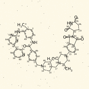 Cc1ccc(NC(=O)c2ccc(CN3CCC(CN4C(C)CN(c5ccc6c(c5)C(=O)N(C5CCC(=O)NC5=O)C6=O)CC4C)CC3)cc2)cc1Nc1nccc(-c2cccnc2)n1